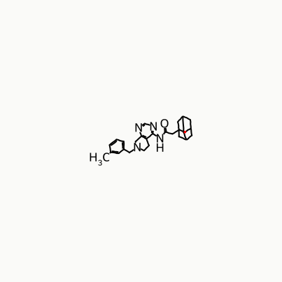 Cc1cccc(CN2CCc3c(ncnc3NC(=O)CC34CC5CC(CC(C5)C3)C4)C2)c1